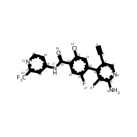 C#Cc1cnc(N)c(I)c1-c1cc(Cl)c(C(=O)Nc2ccnc(C(F)(F)F)c2)cc1F